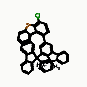 CC1(C)c2ccccc2-c2cc(-c3ccc(Cl)c4sc5ccccc5c34)cc(C3(c4ccccc4)c4ccccc4-c4ccccc43)c21